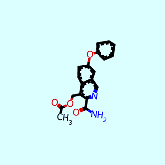 CC(=O)OCc1c(C(N)=O)ncc2cc(Oc3ccccc3)ccc12